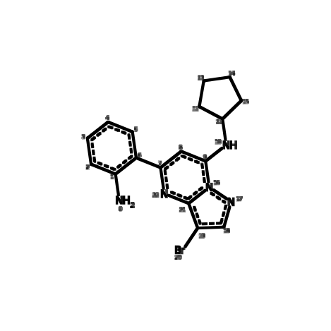 Nc1ccccc1-c1cc(NC2CCCC2)n2ncc(Br)c2n1